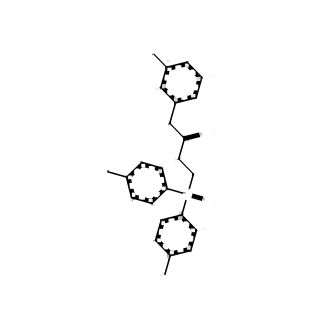 Cc1ccc(P(=O)(CCC(=O)Cc2cccc(Cl)c2)c2ccc(C)cc2)cc1